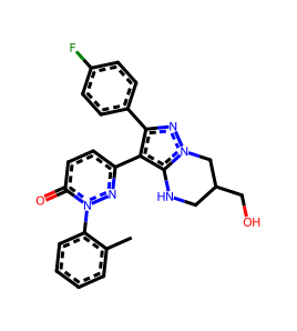 Cc1ccccc1-n1nc(-c2c(-c3ccc(F)cc3)nn3c2NCC(CO)C3)ccc1=O